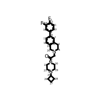 O=C(CN1CCc2cc(-c3ccc(F)c(F)c3)ccc2C1)N1CCN(C2CCC2)CC1